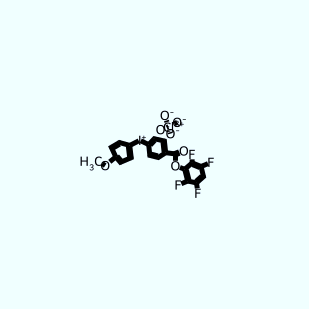 COc1ccc([I+]c2ccc(C(=O)Oc3c(F)c(F)cc(F)c3F)cc2)cc1.[O-][Cl+3]([O-])([O-])[O-]